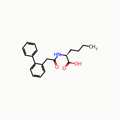 CCCC[C@H](NC(=O)Cc1ccccc1-c1ccccc1)C(=O)O